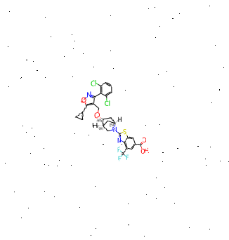 O=C(O)c1cc(C(F)(F)F)c2nc(N3C[C@@H]4C[C@H]3C[C@H]4OCc3c(-c4c(Cl)cccc4Cl)noc3C3CC3)sc2c1